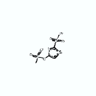 CC(C)S(=O)(=O)c1nc(OS(C)(=O)=O)cs1